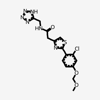 COCOc1ccc(-c2nc(CC(=O)NCc3nnn[nH]3)cs2)c(Cl)c1